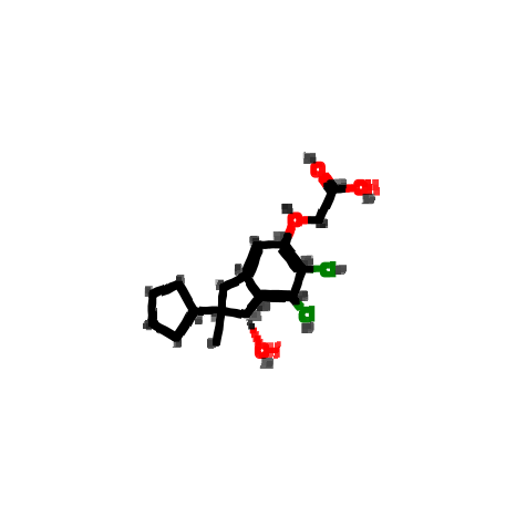 CC1(C2CCCC2)Cc2cc(OCC(=O)O)c(Cl)c(Cl)c2[C@@H]1O